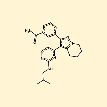 CC(C)CNc1nccc(-c2c(-c3cccc(C(N)=O)c3)nn3c2CCCC3)n1